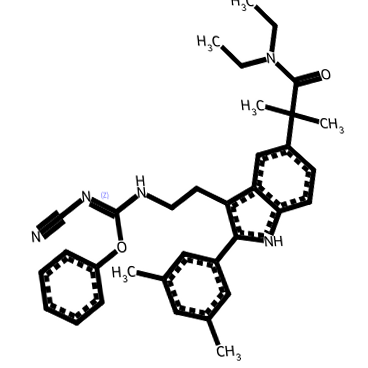 CCN(CC)C(=O)C(C)(C)c1ccc2[nH]c(-c3cc(C)cc(C)c3)c(CCN/C(=N/C#N)Oc3ccccc3)c2c1